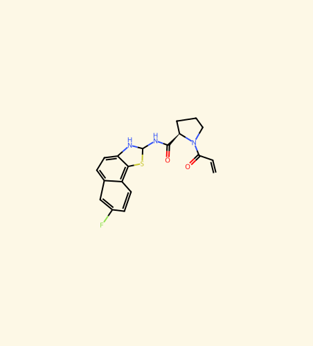 C=CC(=O)N1CCC[C@@H]1C(=O)NC1Nc2ccc3cc(F)ccc3c2S1